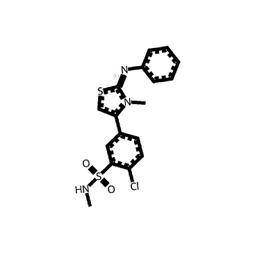 CNS(=O)(=O)c1cc(-c2cs/c(=N/c3ccccc3)n2C)ccc1Cl